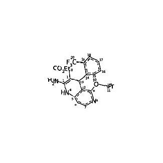 CCOC(=O)C1=C(N)Nc2ccnc(OC(C)C)c2C1c1ccccc1C(F)(F)F